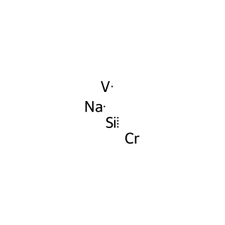 [Cr].[Na].[Si].[V]